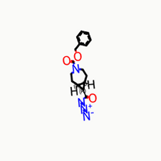 [N-]=[N+]=NC(=O)[C@H]1[C@@H]2CCN(C(=O)OCc3ccccc3)CC[C@@H]21